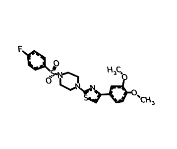 COc1ccc(-c2csc(N3CCN(S(=O)(=O)c4ccc(F)cc4)CC3)n2)cc1OC